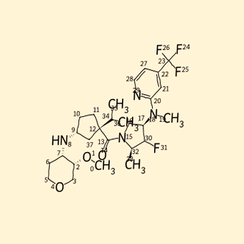 CO[C@@H]1COCC[C@@H]1N[C@@H]1CC[C@@](C(=O)N2C[C@@H](N(C)c3cc(C(F)(F)F)ccn3)C(F)[C@H]2C)(C(C)C)C1